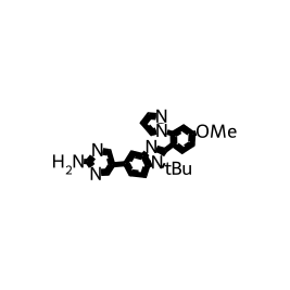 COc1ccc(-c2nc3cc(-c4cnc(N)nc4)ccc3n2C(C)(C)C)c(-n2cccn2)c1